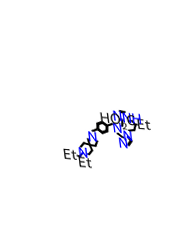 CCC(CCn1ccnc1CN(Cc1ccc(CN2CCC3(CCN(C(CC)CC)CC3)C2)cc1)Cc1ncc[nH]1)C(=O)O